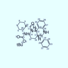 CC(C)(C)OC(=O)N[C@@H]1CCCC[C@@H]1C(=O)N1CCC[C@H]2[C@@H](c3ccccc3)Nc3ccccc3[C@H]21